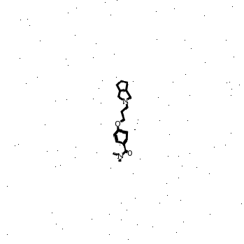 CN(C)C(=O)c1ccc(OCCCN2CC3CCCC3C2)cc1